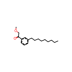 CCCCCCCCCc1cccc(C(=O)COC)c1